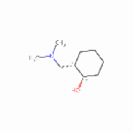 CN(C)C[C@@H]1CCCC[C@H]1O